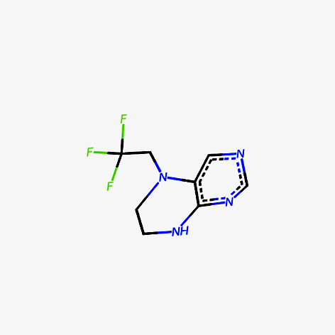 FC(F)(F)CN1CCNc2ncncc21